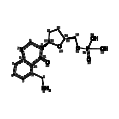 NCc1cccc2ncn([C@H]3CC[C@@H](COP(=O)(O)O)O3)c(=O)c12